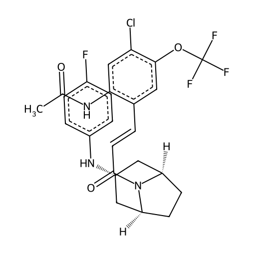 CC(=O)Nc1cc(Cl)c(OC(F)(F)F)cc1/C=C/C(=O)N1[C@@H]2CC[C@H]1C[C@H](Nc1ccc(F)cc1)C2